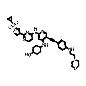 O=S(=O)(C1CC1)n1cc(-c2nccc(Nc3cc(NC4CCC(O)CC4)c(C#Cc4ccc(NCCN5CCOCC5)cc4)cn3)n2)cn1